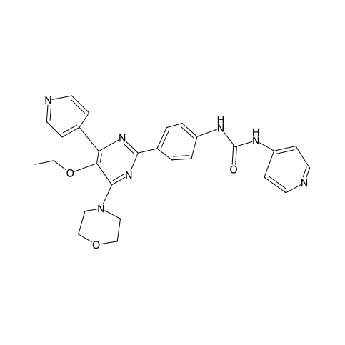 CCOc1c(-c2ccncc2)nc(-c2ccc(NC(=O)Nc3ccncc3)cc2)nc1N1CCOCC1